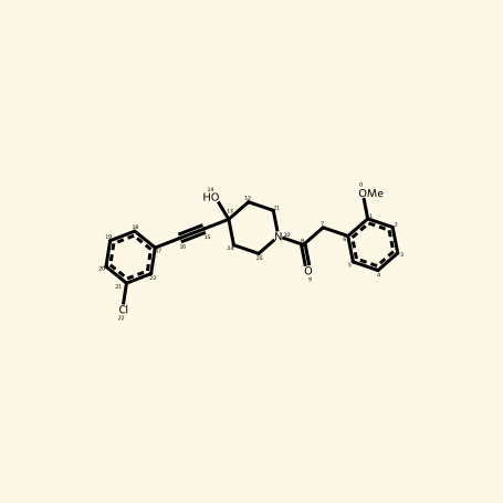 COc1ccccc1CC(=O)N1CCC(O)(C#Cc2cccc(Cl)c2)CC1